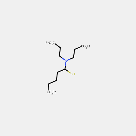 CCOC(=O)CCCC(S)N(CCC(=O)OCC)CCC(=O)OCC